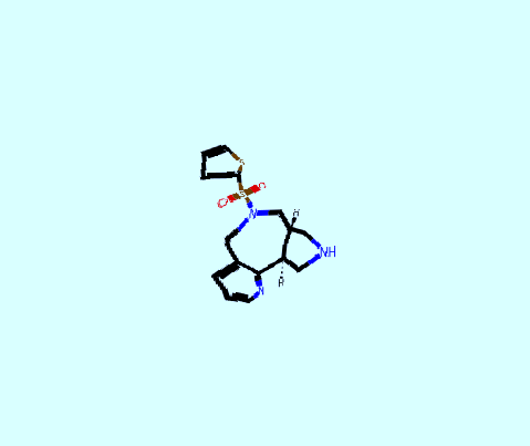 O=S(=O)(c1cccs1)N1Cc2cccnc2[C@@H]2CNC[C@H]2C1